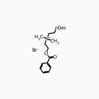 CCCCCCCCCCCC[N+](C)(C)CCOC(=O)c1ccccc1.[Br-]